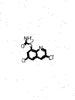 NC(=O)Sc1cc(Cl)cc2cc(Cl)cnc12